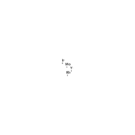 [Ir].[Mo].[Rh].[Y]